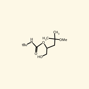 COC(C)(C)CC(CO)OC(=O)NC(C)(C)C